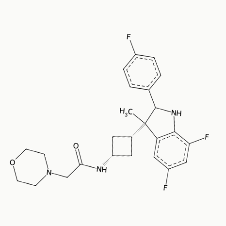 CC1([C@H]2C[C@@H](NC(=O)CN3CCOCC3)C2)c2cc(F)cc(F)c2NC1c1ccc(F)cc1